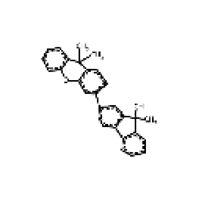 CC1(C)c2ccccc2Oc2cc(-c3ccc4c(c3)C(C)(C)c3ccccc3-4)ccc21